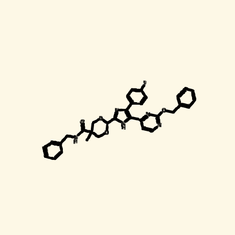 CC1(C(=O)NCc2ccccc2)COC(c2nc(-c3ccc(F)cc3)c(-c3ccnc(OCc4ccccc4)n3)[nH]2)OC1